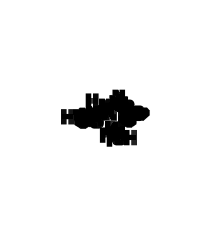 CCOc1cccnc1Oc1cncc(-c2ncc(C(=O)N[C@H]3CNCC[C@@H]3C)cn2)c1.O=C(O)C(F)(F)F